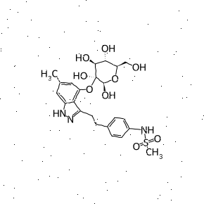 Cc1cc(O[C@]2(O)[C@H](O)O[C@H](CO)[C@@H](O)[C@@H]2O)c2c(CCc3ccc(NS(C)(=O)=O)cc3)n[nH]c2c1